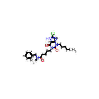 CCCCCn1c(=O)n(CCCCC(=O)N(C)Cc2ccccc2)c(=O)c2[nH]c(Cl)nc21